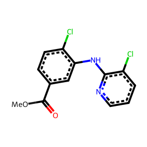 COC(=O)c1ccc(Cl)c(Nc2ncccc2Cl)c1